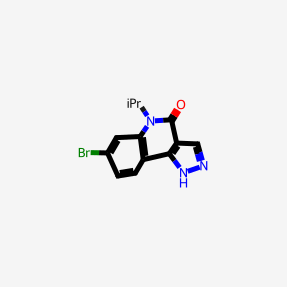 CC(C)n1c(=O)c2cn[nH]c2c2ccc(Br)cc21